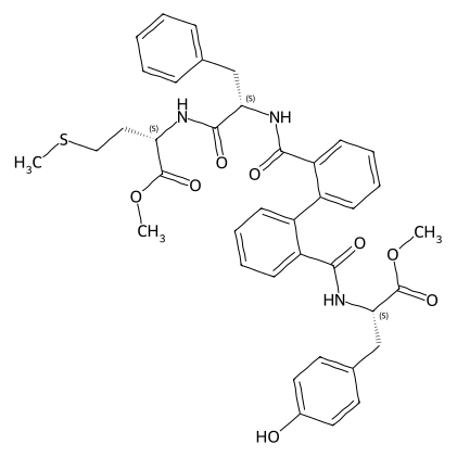 COC(=O)[C@H](Cc1ccc(O)cc1)NC(=O)c1ccccc1-c1ccccc1C(=O)N[C@@H](Cc1ccccc1)C(=O)N[C@@H](CCSC)C(=O)OC